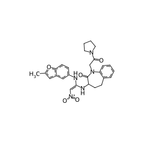 Cc1cc2cc(NC(=C[N+](=O)[O-])NC3CCc4ccccc4N(CC(=O)N4CCCC4)C3=O)ccc2o1